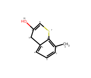 Cc1cccc2c1SC=C(O)C2